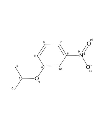 CC(C)Oc1[c]ccc([N+](=O)[O-])c1